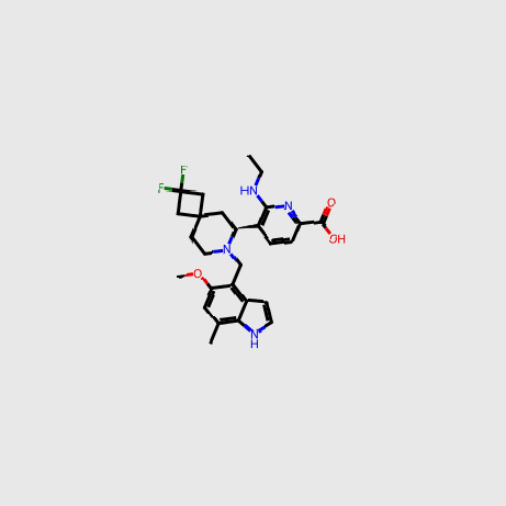 CCNc1nc(C(=O)O)ccc1[C@@H]1CC2(CCN1Cc1c(OC)cc(C)c3[nH]ccc13)CC(F)(F)C2